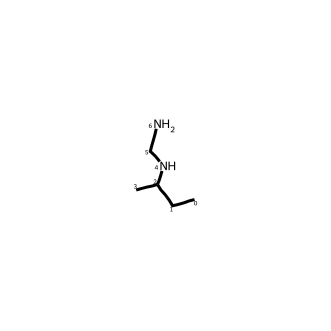 CCC(C)NCN